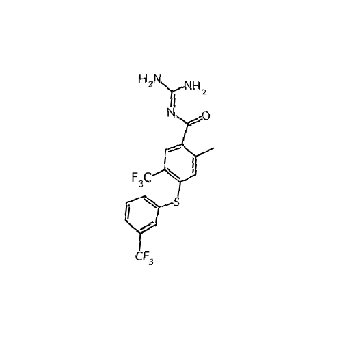 Cc1cc(Sc2cccc(C(F)(F)F)c2)c(C(F)(F)F)cc1C(=O)N=C(N)N